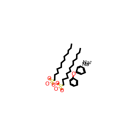 CCCCCCCCCCCCS(=O)(=O)[O-].CCCCCCCCCCCCS(=O)(=O)[O-].[Na+].[Na+].c1ccc(Oc2ccccc2)cc1